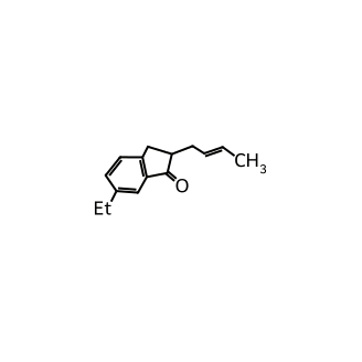 C/C=C/CC1Cc2ccc(CC)cc2C1=O